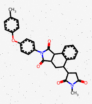 Cc1ccc(Oc2ccc(N3C(=O)C4CC(C5CC(=O)N(C)C5=O)c5ccccc5C4C3=O)cc2)cc1